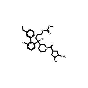 CCc1cccc(-c2c(Cl)cccc2C(O)(CCCNC(=O)OC)C2CCCN(C(=O)C3CC(N)C(O)C3)C2)c1